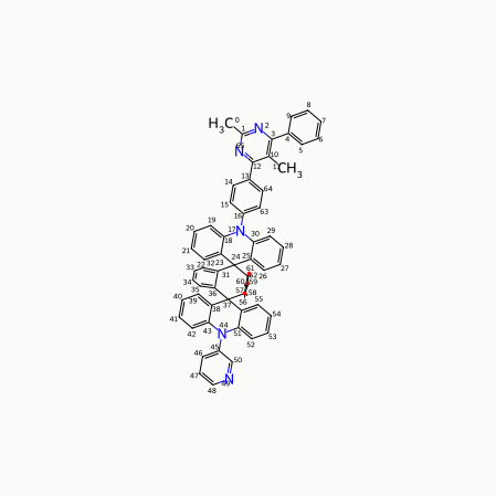 Cc1nc(-c2ccccc2)c(C)c(-c2ccc(N3c4ccccc4C4(c5ccccc53)c3ccccc3C3(c5ccccc5N(c5cccnc5)c5ccccc53)c3ccccc34)cc2)n1